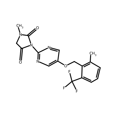 Cc1cccc(C(F)(F)F)c1COc1cnc(N2C(=O)CN(C)C2=O)nc1